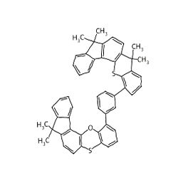 CC1(C)c2cccc(-c3cccc(-c4cccc5c4Oc4c(ccc6c4-c4ccccc4C6(C)C)S5)c3)c2Sc2c1ccc1c2-c2ccccc2C1(C)C